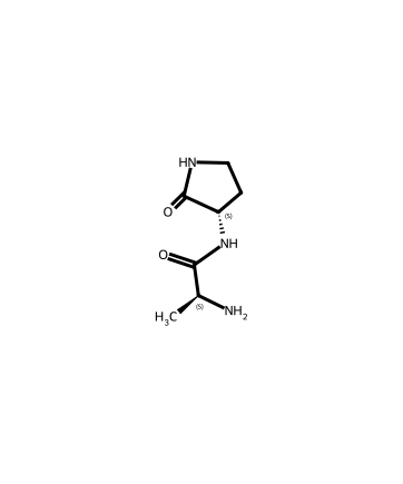 C[C@H](N)C(=O)N[C@H]1CCNC1=O